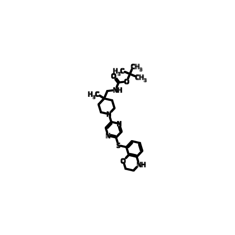 CC1(CNC(=O)OC(C)(C)C)CCN(c2cnc(Sc3cccc4c3OCCN4)cn2)CC1